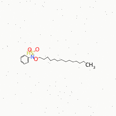 CCCCCCCCCCCCCCON(c1ccccc1)[SH](=O)=O